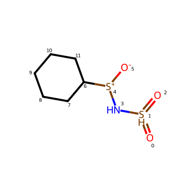 O=[SH](=O)N[S+]([O-])C1CCCCC1